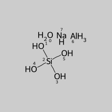 O.O[Si](O)(O)O.[AlH3].[NaH]